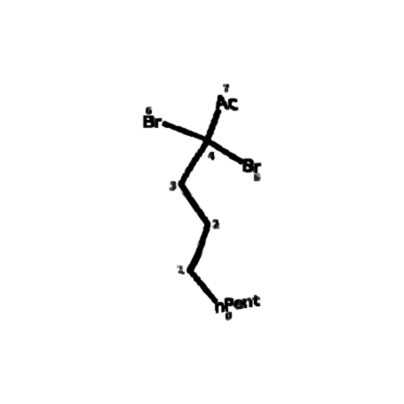 CCCCCCCCC(Br)(Br)C(C)=O